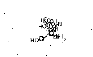 CC1(O)C(ON(C#N)C#N)OC(Oc2c(O)cc(O)cc2/C=C/c2ccc(O)cc2)C(O)C1N=O.N